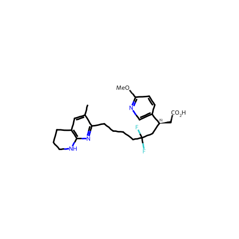 COc1ccc([C@@H](CC(=O)O)CC(F)(F)CCCCc2nc3c(cc2C)CCCN3)cn1